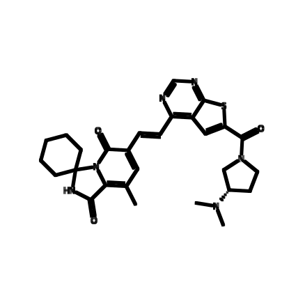 Cc1cc(/C=C/c2ncnc3sc(C(=O)N4CC[C@H](N(C)C)C4)cc23)c(=O)n2c1C(=O)NC21CCCCC1